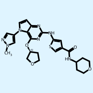 Cn1cc(-n2ccc3nc(Nc4cc(C(=O)NC5CCOCC5)cs4)nc(O[C@H]4CCOC4)c32)cn1